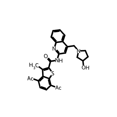 CC(=O)c1ccc(C(C)=O)c2c(C)c(C(=O)Nc3cc(CN4CCC(O)C4)c4ccccc4n3)sc12